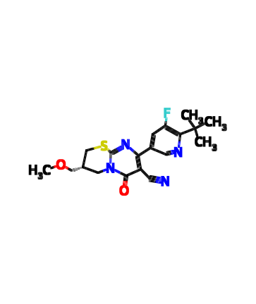 COC[C@@H]1CSc2nc(-c3cnc(C(C)(C)C)c(F)c3)c(C#N)c(=O)n2C1